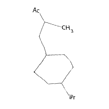 CC(=O)C(C)CC1CCC(C(C)C)CC1